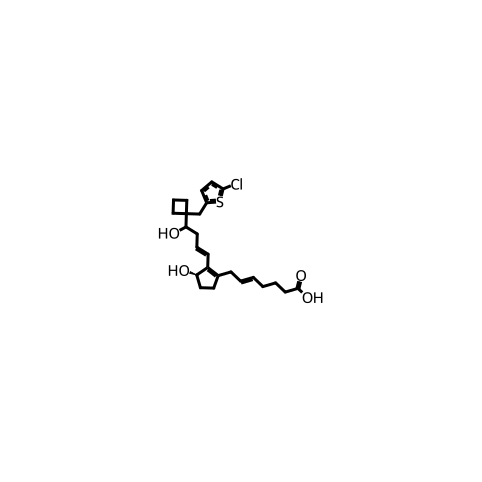 O=C(O)CCCC=CCC1=C(C=CCC(O)C2(Cc3ccc(Cl)s3)CCC2)[C@H](O)CC1